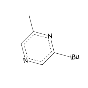 CCC(C)c1cncc(C)n1